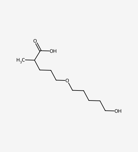 CC(CCCOCCCCCO)C(=O)O